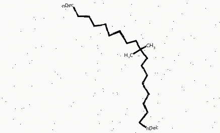 CCCCCCCCCCCCCCCCCCC(C)(C)CCCCCCCCCCCCCCCCCC